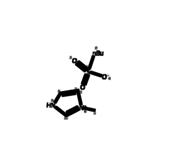 CCCCS(=O)(=O)[O-].C[n+]1cc[nH]c1